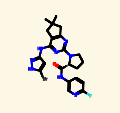 CC(C)c1cc(Nc2nc(N3CCC[C@@H]3C(=O)Nc3ccc(F)nc3)nc3c2CC(C)(C)C3)n[nH]1